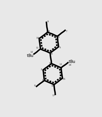 Cc1cc(-c2cc(C)c(C)cc2C(C)(C)C)c(C(C)(C)C)cc1C